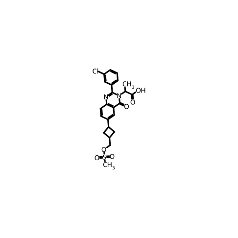 CC(C(=O)O)n1c(-c2cccc(Cl)c2)nc2ccc(C3CC(COS(C)(=O)=O)C3)cc2c1=O